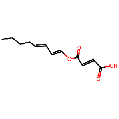 CCCCC=CC=COC(=O)C=CC(=O)O